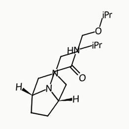 CC(C)NC(=O)CN1[C@@H]2CC[C@H]1CN(CCCOC(C)C)C2